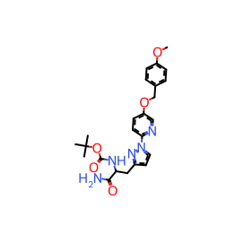 COc1ccc(COc2ccc(-n3ccc(CC(NC(=O)OC(C)(C)C)C(N)=O)n3)nc2)cc1